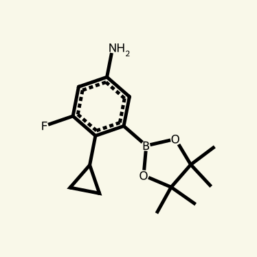 CC1(C)OB(c2cc(N)cc(F)c2C2CC2)OC1(C)C